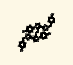 Brc1ccc(Cn2nnc(-c3cnn(-c4ccc(Br)cc4)c3SSc3c(-c4nnn(Cc5ccc(Br)cc5)n4)cnn3-c3ccc(Br)cc3)n2)cc1